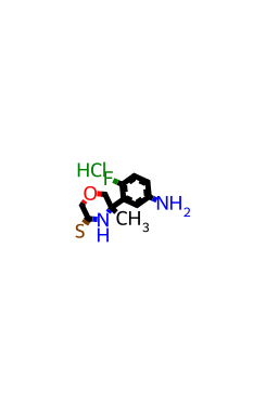 CC1(c2cc(N)ccc2F)COCC(=S)N1.Cl